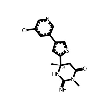 CN1C(=N)N[C@](C)(c2cc(-c3cncc(Cl)c3)cs2)CC1=O